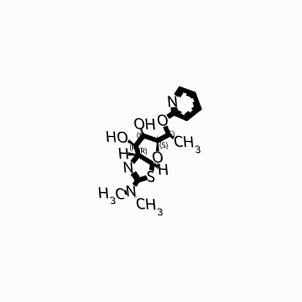 C[C@H](Oc1ccccn1)[C@H]1O[C@@H]2SC(N(C)C)=N[C@@H]2[C@@H](O)[C@@H]1O